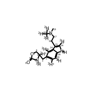 [2H]c1c(C[C@@]2([2H])COC(=O)N2[2H])c([2H])c2c(CCN(C)C([2H])([2H])[2H])c([2H])n([2H])c2c1[2H]